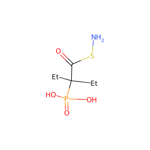 CCC(CC)(C(=O)SN)P(=O)(O)O